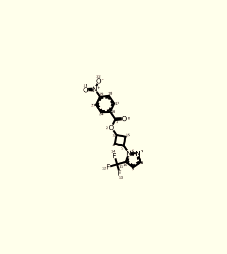 O=C(OC1CC(n2nccc2C(F)(F)F)C1)c1ccc([N+](=O)[O-])cc1